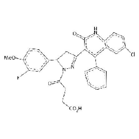 COc1ccc(C2CC(c3c(-c4ccccc4)c4cc(Cl)ccc4[nH]c3=O)=NN2C(=O)CCC(=O)O)cc1F